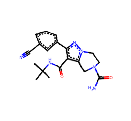 CC(C)(C)NC(=O)c1c(-c2cccc(C#N)c2)nn2c1CN(C(N)=O)CC2